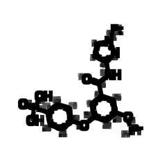 CCn1ccc(NC(=O)c2cc(Oc3ccc(P(=O)(O)O)cc3)cc(OC(C)C)c2)n1